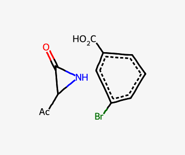 CC(=O)C1NC1=O.O=C(O)c1cccc(Br)c1